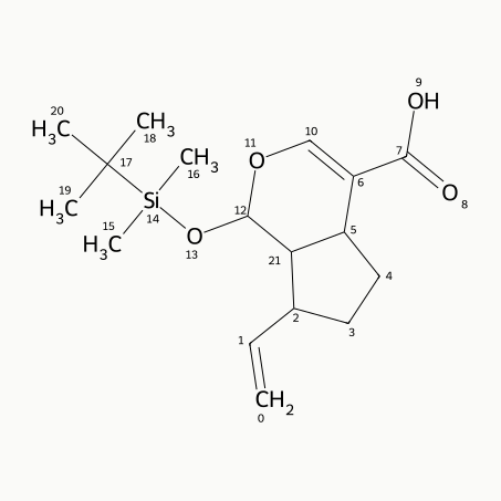 C=CC1CCC2C(C(=O)O)=COC(O[Si](C)(C)C(C)(C)C)C12